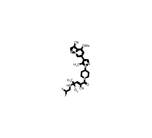 COc1cc(-c2cnn(C3CCN(C(=O)C(C#N)=CC(C)(C)NCC(F)F)CC3)c2C)cn2ncc(C#N)c12